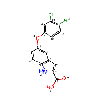 O=C(O)c1cc2cc(Oc3ccc(Br)c(Cl)c3)ccc2[nH]1